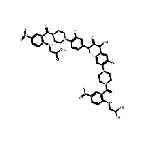 CC(C)CNc1ccc([N+](=O)[O-])cc1C(=O)N1CCN(c2ccc(C(C)C(=O)C(C)c3ccc(N4CCN(C(=O)c5cc([N+](=O)[O-])ccc5NCC(C)C)CC4)c(F)c3)cc2F)CC1